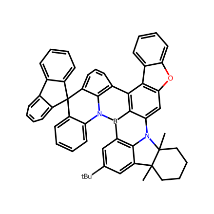 CC(C)(C)c1cc2c3c(c1)C1(C)CCCCC1(C)N3c1cc3oc4ccccc4c3c3c1B2N1c2ccccc2C2(c4ccccc4-c4ccccc42)c2cccc-3c21